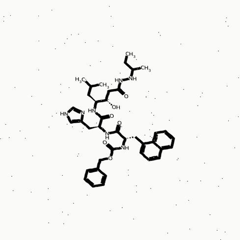 CCC(C)NNC(=O)C[C@H](O)[C@H](CC(C)C)NC(=O)[C@H](Cc1c[nH]cn1)NC(=O)[C@H](Cc1cccc2ccccc12)NC(=O)OCc1ccccc1